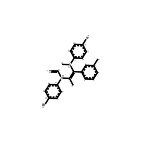 C/C(=C(\c1cccc(C)c1)N(C)c1ccc(Br)cc1)N(C=O)c1ccc(Br)cc1